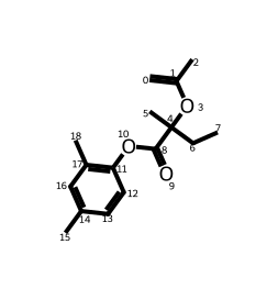 C=C(C)OC(C)(CC)C(=O)Oc1ccc(C)cc1C